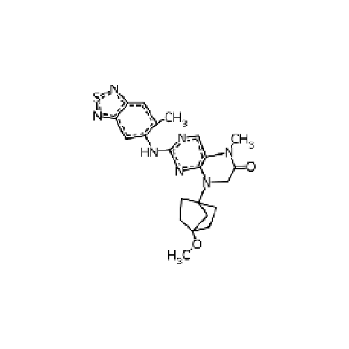 COC12CCC(N3CC(=O)N(C)c4cnc(Nc5cc6nsnc6cc5C)nc43)(CC1)C2